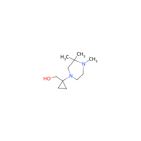 CN1CCN(C2(CO)CC2)CC1(C)C